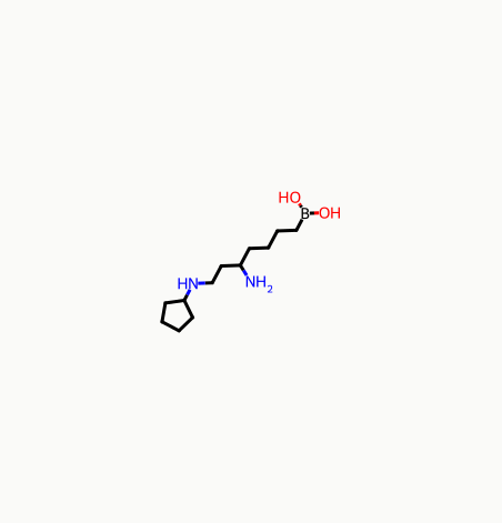 NC(CCCCB(O)O)CCNC1CCCC1